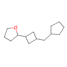 C1CCC(CC2CC(C3CCCO3)C2)C1